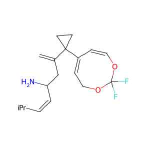 C=C(CC(N)/C=C\C(C)C)C1(C2=C/COC(F)(F)O/C=C\2)CC1